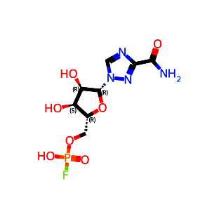 NC(=O)c1ncn([C@@H]2O[C@H](COP(=O)(O)F)[C@@H](O)[C@H]2O)n1